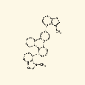 Cn1cnc2cccc(-c3ccc4c(c3)c3ccccc3c3c(-c5cccc6ncn(C)c56)cccc43)c21